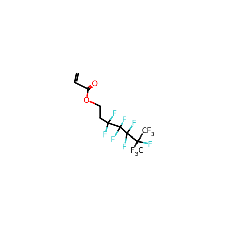 C=CC(=O)OCCC(F)(F)C(F)(F)C(F)(F)C(F)(C(F)(F)F)C(F)(F)F